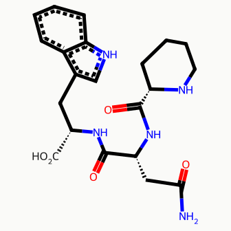 NC(=O)C[C@@H](NC(=O)[C@@H]1CCCCN1)C(=O)N[C@@H](Cc1c[nH]c2ccccc12)C(=O)O